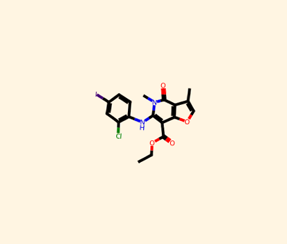 CCOC(=O)c1c(Nc2ccc(I)cc2Cl)n(C)c(=O)c2c(C)coc12